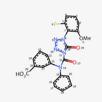 COc1cccc(F)c1-n1nnn(C(=O)N(c2ccccc2)c2cccc(C(=O)O)c2)c1=O